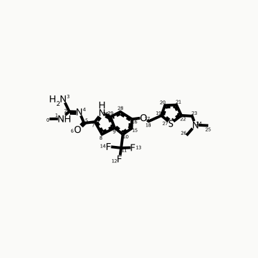 CNC(N)=NC(=O)c1cc2c(C(F)(F)F)cc(OCc3ccc(CN(C)C)s3)cc2[nH]1